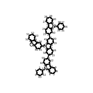 c1ccc(-n2c3ccccc3c3cc(-c4ccc5c6ccc(-c7ccc8c9ccccc9n(-c9ccccc9)c8c7)cc6n(-c6ccc7oc8ccccc8c7c6)c5c4)ccc32)cc1